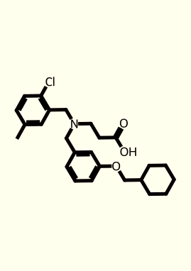 Cc1ccc(Cl)c(CN(CCC(=O)O)Cc2cccc(OCC3CCCCC3)c2)c1